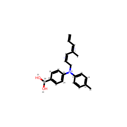 C=C/C=C(C)\C=C/CN(c1ccc(C)cc1)c1ccc(B(O)O)cc1